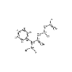 CC(=O)OC(Cl)OC(=O)N(c1ccccc1)C(C)C